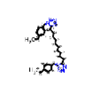 C=Cc1ccc(Cn2nnnc2CCCCCCCCCCc2nnnn2Cc2ccc(C=C)cc2)cc1